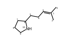 CC(C)=CCCC1CCCN1